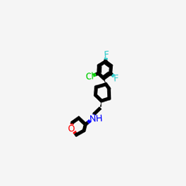 Fc1cc(F)c([C@H]2CC[C@@H](CCNC3CCOCC3)CC2)c(Cl)c1